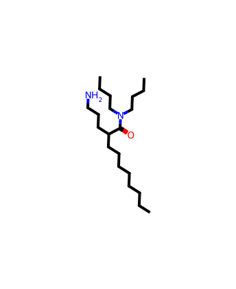 CCCCCCCCC(CCCN)C(=O)N(CCCC)CCCC